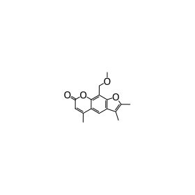 COCc1c2oc(=O)cc(C)c2cc2c(C)c(C)oc12